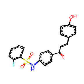 O=C(C=Cc1ccc(O)cc1)c1ccc(NS(=O)(=O)c2ccccc2F)cc1